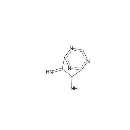 N=C1C(=N)c2ncnc1n2